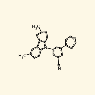 Cc1ccc2c(c1)c1cc(C)ccc1n2-c1cc(C#N)cc(-c2ccncc2)c1